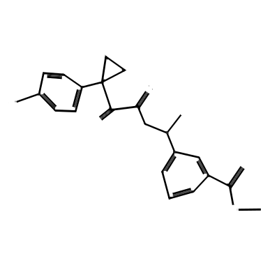 COC(=O)c1cccc(C(C)CC(=N)C(=O)C2(c3ccc(Cl)cc3)CC2)c1